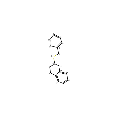 c1ccc(CSC2CCc3ccccc3C2)cc1